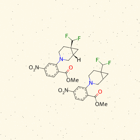 COC(=O)c1ccc([N+](=O)[O-])cc1N1CCC2(C(F)F)CC2C1.COC(=O)c1ccc([N+](=O)[O-])cc1N1CC[C@]2(C(F)F)C[C@@H]2C1